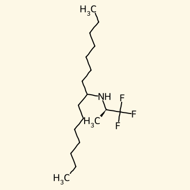 CCCCCCCC(CCCCCCC)N[C@H](C)C(F)(F)F